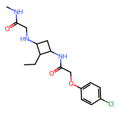 CCC1C(NCC(=O)NC)CC1NC(=O)COc1ccc(Cl)cc1